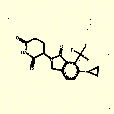 O=C1CCC(N2Cc3ccc(C4CC4)c(C(F)(F)F)c3C2=O)C(=O)N1